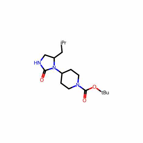 CC(C)CC1CNC(=O)N1C1CCN(C(=O)OC(C)(C)C)CC1